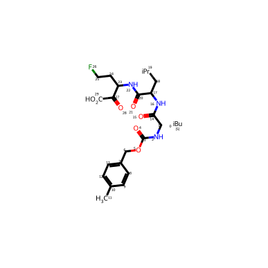 CC[C@H](C)C(NC(=O)OCc1ccc(C)cc1)C(=O)NC(CC(C)C)C(=O)NC(CCF)C(=O)C(=O)O